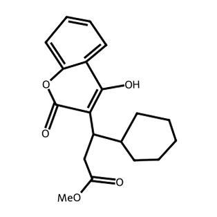 COC(=O)CC(c1c(O)c2ccccc2oc1=O)C1CCCCC1